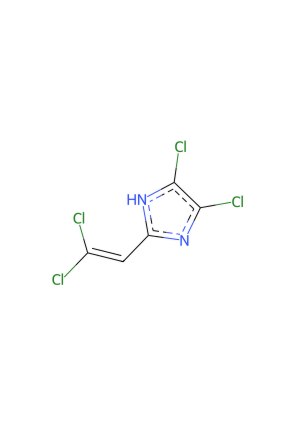 ClC(Cl)=Cc1nc(Cl)c(Cl)[nH]1